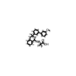 COc1cccc(-c2cccc(C3(C)Cc4ccccc4C(N)=N3)c2)c1.O=C(O)C(F)(F)F